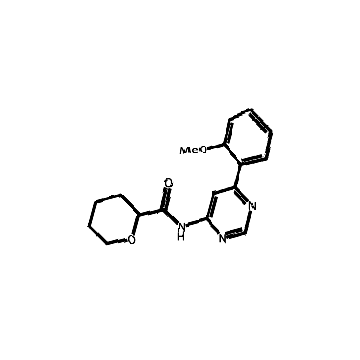 COc1ccccc1-c1cc(NC(=O)C2CCCCO2)ncn1